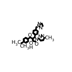 Cc1ccc(N2C(=O)C(O)=C(C(=O)c3ccc(C(C)C)cc3)C2c2ccc(Cn3nccn3)cc2)nn1